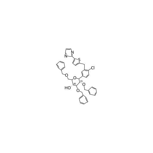 O[C@@H]1C(COCc2ccccc2)OC(c2ccc(Cl)c(Cc3ccc(-c4ncccn4)s3)c2)[C@H](OCc2ccccc2)C1OCc1ccccc1